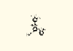 COc1cc(-c2nc3c(Cc4ccccc4C(F)(F)F)cc(OCCN(C)C)cc3[nH]2)cc(OC)c1OC